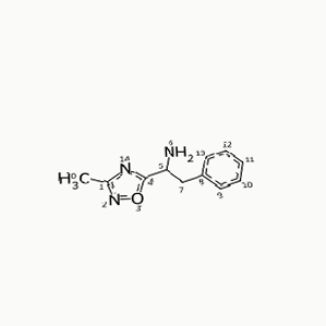 Cc1noc(C(N)Cc2ccccc2)n1